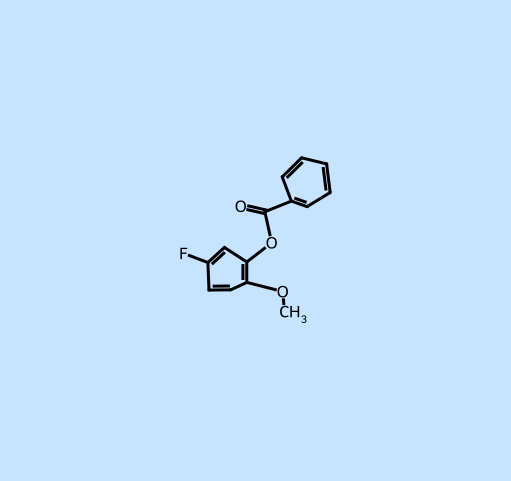 COc1ccc(F)cc1OC(=O)c1ccccc1